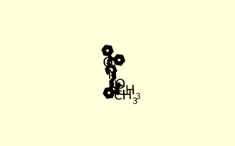 CC1(C)C(=O)N(CCN2CCC(OC(c3ccccc3)c3ccccc3)CC2)c2ccccc21